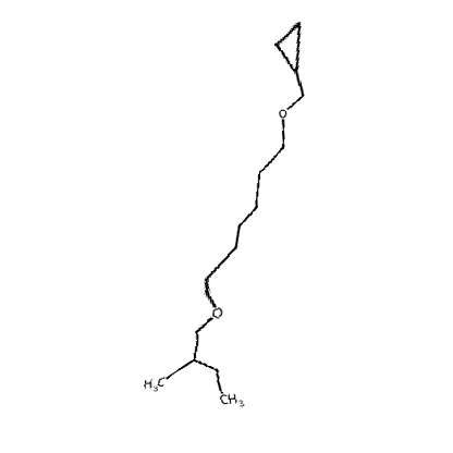 CCC(C)COCCCCCCOCC1CC1